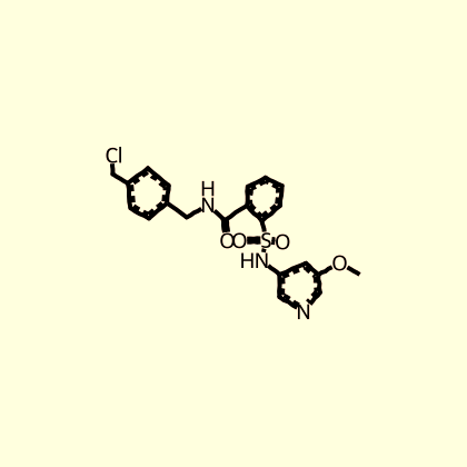 COc1cncc(NS(=O)(=O)c2ccccc2C(=O)NCc2ccc(CCl)cc2)c1